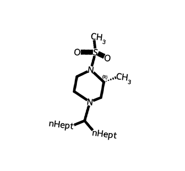 CCCCCCCC(CCCCCCC)N1CCN(S(C)(=O)=O)[C@H](C)C1